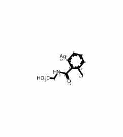 O=C(O)CNC(=O)c1ccccc1I.[Ag]